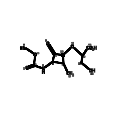 CC1C(NC(=O)OC(C)(C)C)C(=O)N1OC(CO)C(=O)O